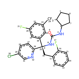 O=C(NC1CCCC1)N[C@@](Cc1ccccc1F)(c1cc(F)cc(C(F)(F)F)c1)c1ccc(Cl)cn1